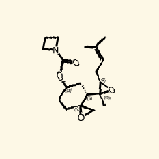 CC(C)=CC[C@H]1O[C@]1(C)[C@H]1C[C@H](OC(=O)N2CCC2)CC[C@]12CO2